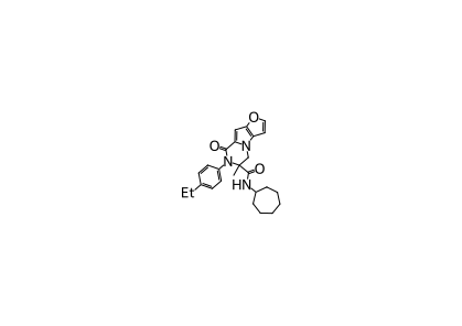 CCc1ccc(N2C(=O)c3cc4occc4n3CC2(C)C(=O)NC2CCCCCC2)cc1